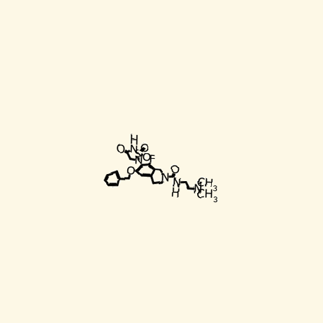 CN(C)CCNC(=O)N1CCc2cc(OCc3ccccc3)c(N3CC(=O)NS3(=O)=O)c(F)c2C1